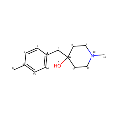 Cc1ccc(CC2(O)CCN(C)CC2)cc1